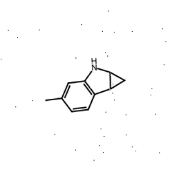 Cc1ccc2c(c1)NC1CC21